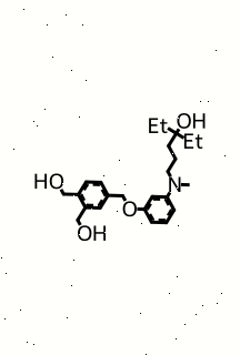 CCC(O)(CC)CCCN(C)c1cccc(OCc2ccc(CO)c(CO)c2)c1